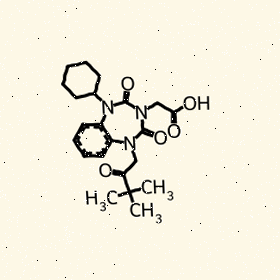 CC(C)(C)C(=O)CN1C(=O)N(CC(=O)O)C(=O)N(C2CCCCC2)c2ccccc21